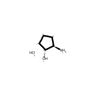 Cl.N[C@@H]1CCC[C@H]1O